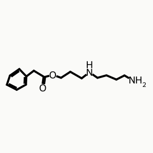 NCCCCNCCCOC(=O)Cc1ccccc1